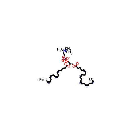 CC/C=C\C/C=C\C/C=C\C/C=C\C/C=C\CCCC(=O)OC[C@H](COP(=O)([O-])OCC[N+](C)(C)C)OC(=O)CCC/C=C\C/C=C\C/C=C\C/C=C\CCCCC